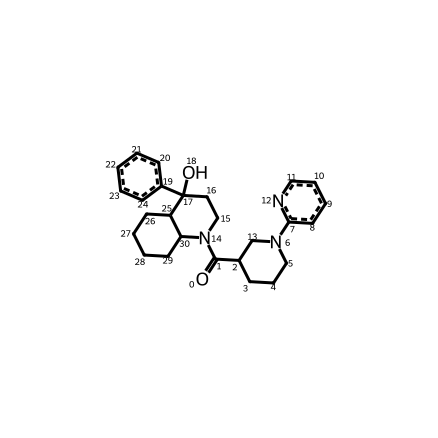 O=C(C1CCCN(c2ccccn2)C1)N1CCC(O)(c2ccccc2)C2CCCCC21